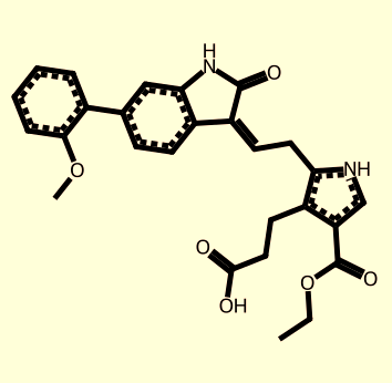 CCOC(=O)c1c[nH]c(CC=C2C(=O)Nc3cc(-c4ccccc4OC)ccc32)c1CCC(=O)O